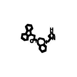 O=C(CC1c2ccccc2-c2ccccc21)N1CCN(Cc2c[nH]cn2)c2ccccc2C1